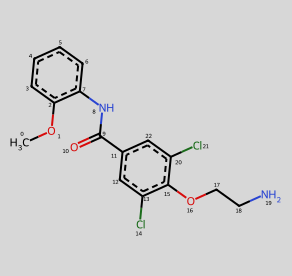 COc1ccccc1NC(=O)c1cc(Cl)c(OCCN)c(Cl)c1